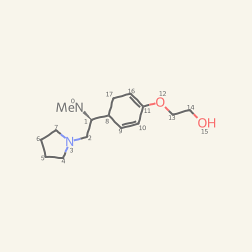 CN[C@H](CN1CCCC1)C1C=CC(OCCO)=CC1